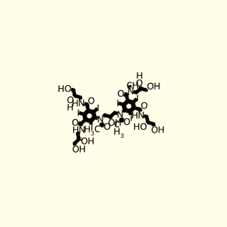 CC(=O)N(CC(O)CN(C(C)=O)c1c(I)c(C(=O)NCC(O)CO)c(I)c(C(=O)N(C)CC(O)CO)c1I)c1c(I)c(C(=O)NCC(O)CO)c(I)c(C(=O)NC[C@H](O)CO)c1I